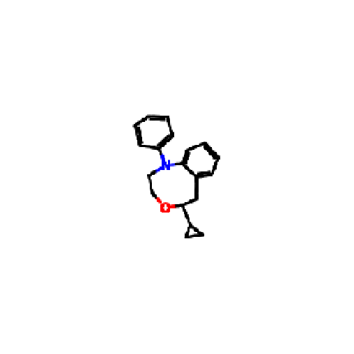 c1ccc(N2CCOC(C3CC3)Cc3ccccc32)cc1